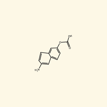 Nc1ccc2cc(OC(=O)O)ccc2c1